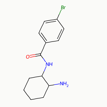 NC1CCCCC1NC(=O)c1ccc(Br)cc1